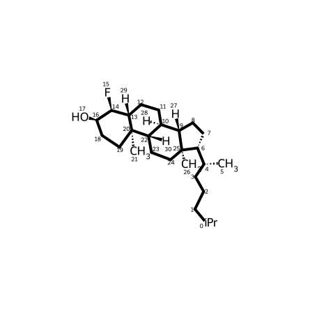 CC(C)CCC[C@@H](C)[C@H]1CC[C@H]2[C@@H]3CC[C@H]4[C@H](F)[C@H](O)CC[C@]4(C)[C@H]3CC[C@]12C